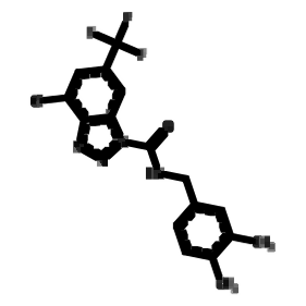 Cc1ccc(CNC(=O)n2nnc3c(Cl)cc(C(F)(F)F)cc32)cc1C